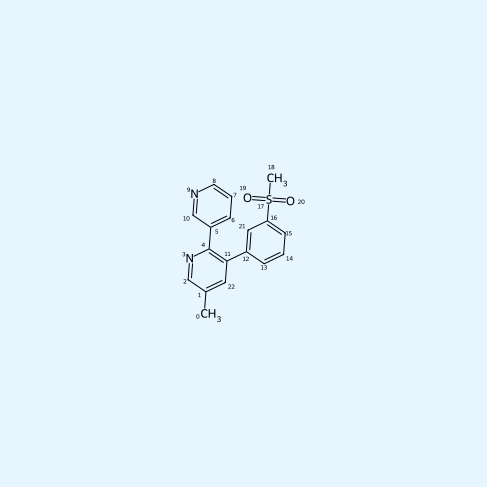 Cc1cnc(-c2cccnc2)c(-c2cccc(S(C)(=O)=O)c2)c1